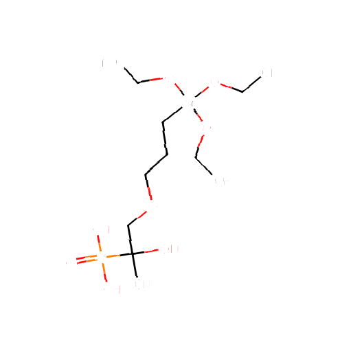 CCO[Si](CCCOCC(C)(O)P(=O)(O)O)(OCC)OCC